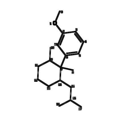 COc1cccc(C2(C)C(C)CCCC2CC(C)C)c1